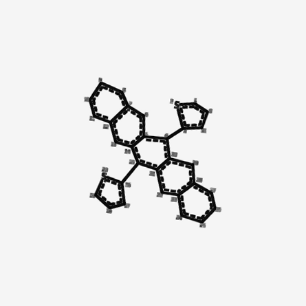 c1csc(-c2c3cc4ccccc4cc3c(-c3cccs3)c3cc4ccccc4cc23)c1